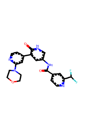 O=C(Nc1c[nH]c(=O)c(-c2ccnc(N3CCOCC3)c2)c1)c1ccnc(C(F)F)c1